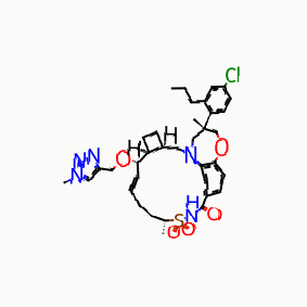 CCCc1cc(Cl)ccc1[C@]1(C)COc2ccc3cc2N(C[C@@H]2CC[C@H]2[C@@H](OCc2cn(C)nn2)/C=C/CC[C@@H](C)S(=O)(=O)NC3=O)C1